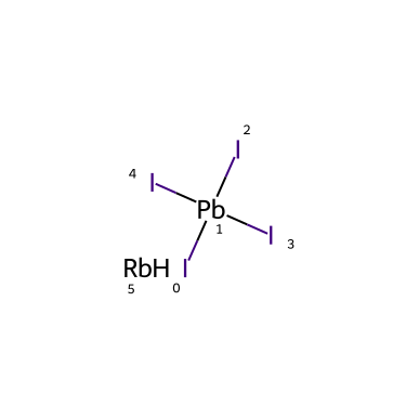 [I][Pb]([I])([I])[I].[RbH]